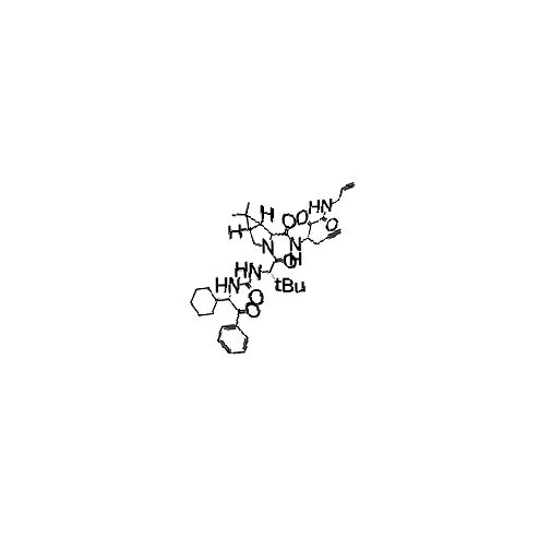 C#CCC(NC(=O)[C@@H]1[C@@H]2[C@H](CN1C(=O)[C@@H](NC(=O)N[C@H](C(=O)c1ccccc1)C1CCCCC1)C(C)(C)C)C2(C)C)C(=O)C(=O)NCC=C